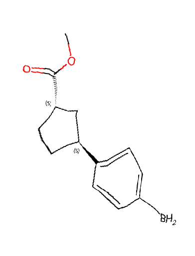 Bc1ccc([C@H]2CC[C@H](C(=O)OC)C2)cc1